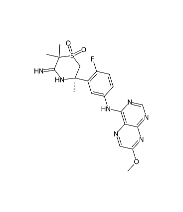 COc1cnc2c(Nc3ccc(F)c([C@]4(C)CS(=O)(=O)C(C)(C)C(=N)N4)c3)ncnc2n1